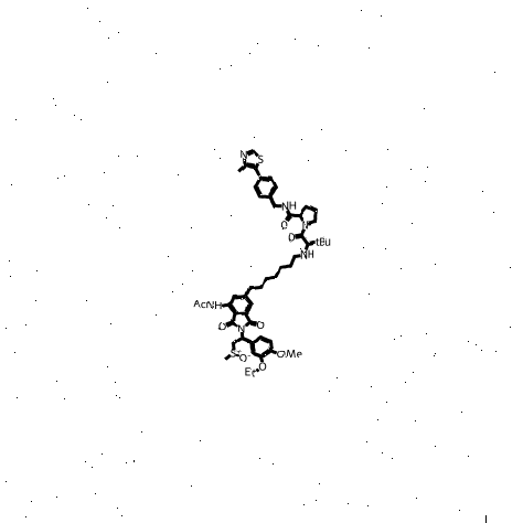 CCOc1cc(C(C[S+](C)[O-])N2C(=O)c3cc(CCCCCCCNC(C(=O)N4CCCC4C(=O)NCc4ccc(-c5scnc5C)cc4)C(C)(C)C)cc(NC(C)=O)c3C2=O)ccc1OC